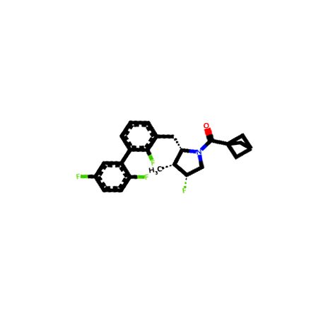 C[C@H]1[C@@H](F)CN(C(=O)C23CC(C2)C3)[C@H]1Cc1cccc(-c2cc(F)ccc2F)c1F